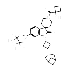 CC1(C(=O)N2CCC3(CC2)C(=O)N([C@H]2C[C@@H](N4CC5CC(C5)C4)C2)c2cc(B4OC(C)(C)C(C)(C)O4)ccc23)COC1